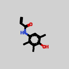 C=CC(=O)Nc1cc(C)c(O)c(C)c1C